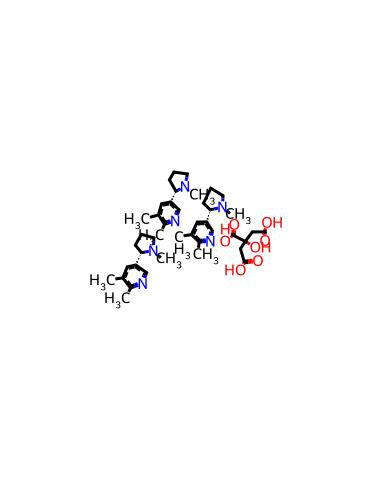 Cc1cc([C@@H]2CCCN2C)cnc1C.Cc1cc([C@@H]2CCCN2C)cnc1C.Cc1cc([C@@H]2CCCN2C)cnc1C.O=C(O)CC(O)(CC(=O)O)C(=O)O